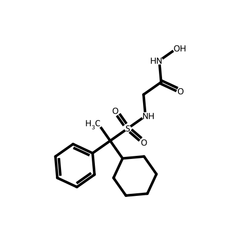 CC(c1ccccc1)(C1CCCCC1)S(=O)(=O)NCC(=O)NO